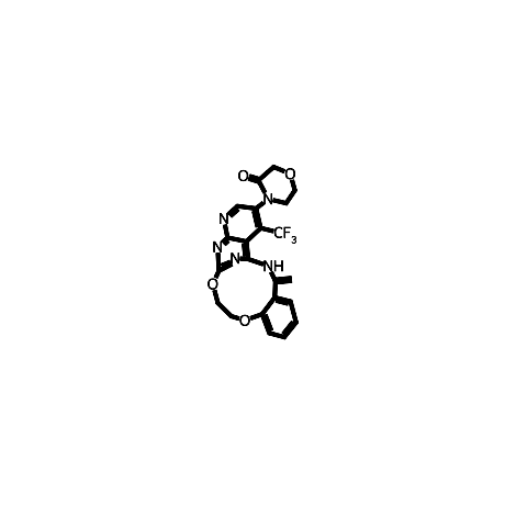 C=C1Nc2nc(nc3ncc(N4CCOCC4=O)c(C(F)(F)F)c23)OCCOc2ccccc21